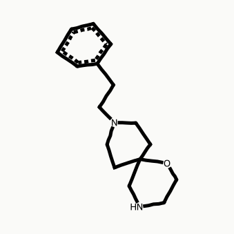 c1ccc(CCN2CCC3(CC2)CNCCO3)cc1